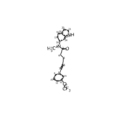 CN(C(=O)CCC#Cc1cccc(OC(F)(F)F)c1)c1ccc2cc[nH]c2c1